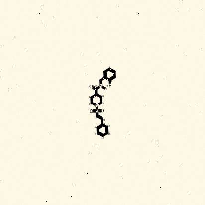 CN(Cc1ccccc1F)C(=O)C1CCN(S(=O)(=O)/C=C/c2ccccc2)CC1